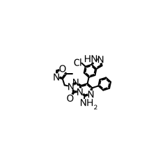 Cc1ocnc1Cn1nc2c(-c3cc(Cl)c4[nH]ncc4c3)c(-c3ccccc3)nc(N)n2c1=O